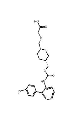 O=C(O)COC[C@H]1CC[C@H](COC(=O)Nc2ccccc2-c2ccc(Cl)cc2)CC1